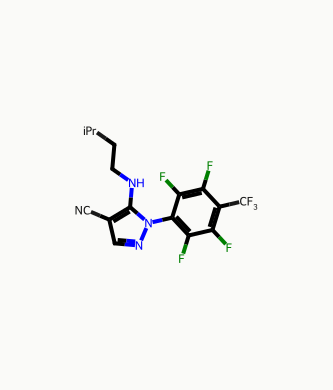 CC(C)CCNc1c(C#N)cnn1-c1c(F)c(F)c(C(F)(F)F)c(F)c1F